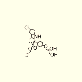 O=C(OCC1CCC1)N1CCc2c([nH]c3ccc(Cl)cc23)[C@@H]1c1ccc(OC[C@H](O)CO)cc1